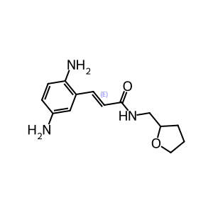 Nc1ccc(N)c(/C=C/C(=O)NCC2CCCO2)c1